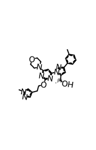 Cc1cccc(-c2cc([C@@H](C)O)n(-c3cc(N4CCOCC4)nc(OCCc4cnn(C)c4)n3)n2)c1